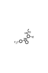 C=CC(=O)Nc1cc(C2CC2)cc(-n2nc(-c3ccc(C(F)(F)F)cc3)c3ccccc32)c1